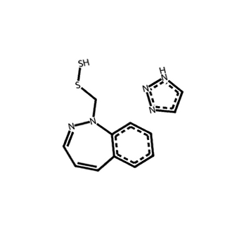 SSCN1N=CC=Cc2ccccc21.c1c[nH]nn1